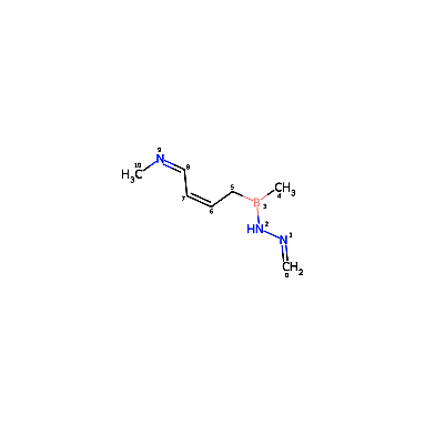 C=NNB(C)C/C=C\C=N/C